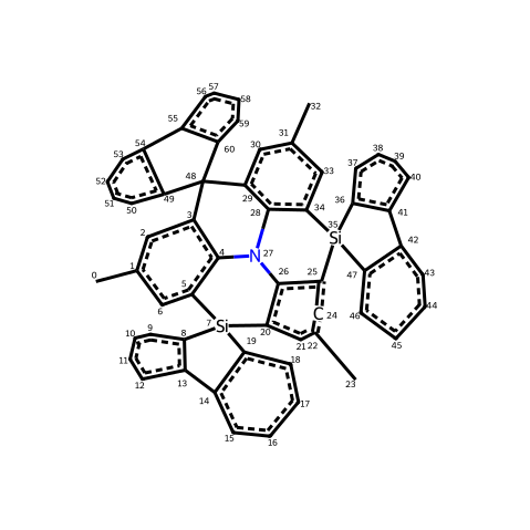 Cc1cc2c3c(c1)[Si]1(c4ccccc4-c4ccccc41)c1cc(C)cc4c1N3c1c(cc(C)cc1[Si]41c3ccccc3-c3ccccc31)C21c2ccccc2-c2ccccc21